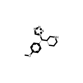 COc1ccc([C@@H]([C@H]2CCCNC2)n2cnnn2)cc1